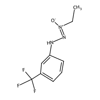 CC[N+]([O-])=NNc1cccc(C(F)(F)F)c1